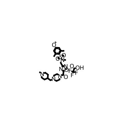 COc1cc(C)c(S(=O)(=O)N(C)Cc2noc(C(=O)N3CCN(CC4CCN(C)CC4)CC3)n2)c(C)c1.O=C(O)C(F)(F)F